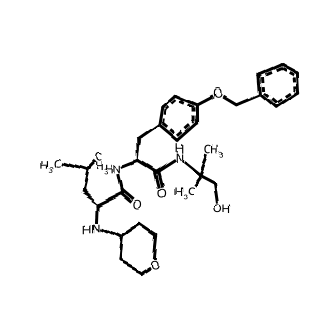 CC(C)C[C@H](NC1CCOCC1)C(=O)N[C@@H](Cc1ccc(OCc2ccccc2)cc1)C(=O)NC(C)(C)CO